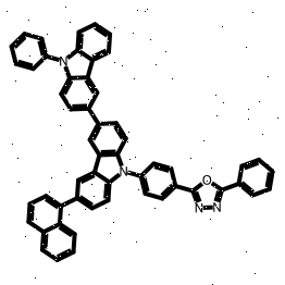 c1ccc(-c2nnc(-c3ccc(-n4c5ccc(-c6ccc7c(c6)c6ccccc6n7-c6ccccc6)cc5c5cc(-c6cccc7ccccc67)ccc54)cc3)o2)cc1